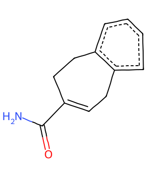 NC(=O)C1=CCc2ccccc2CC1